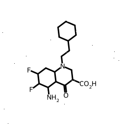 NC1C(F)C(F)CC2C1C(=O)C(C(=O)O)CN2CCC1CCCCC1